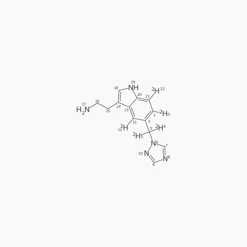 [2H]c1c(C([2H])([2H])n2cncn2)c([2H])c2c(CCN)c[nH]c2c1[2H]